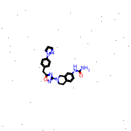 NC(=O)Nc1ccc2c(c1)CN(c1noc(Cc3ccc(-n4cccn4)cc3)n1)CC2